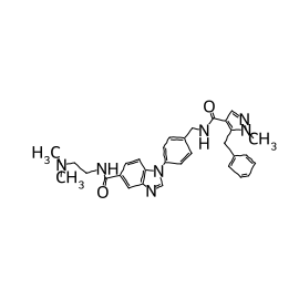 CN(C)CCNC(=O)c1ccc2c(c1)ncn2-c1ccc(CNC(=O)c2cnn(C)c2Cc2ccccc2)cc1